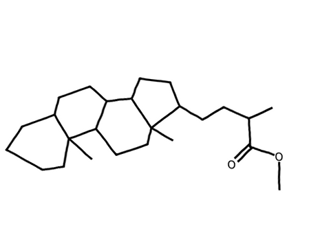 COC(=O)C(C)CCC1CCC2C3CCC4CCCCC4(C)C3CCC12C